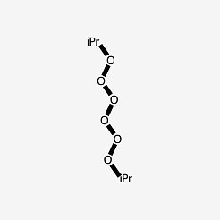 CC(C)OOOOOOC(C)C